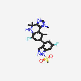 Cc1c(-c2cc(F)cc3c2cnn3S(C)(=O)=O)cc(F)c2c1-c1c(ncn1C)C(C)(C)N2